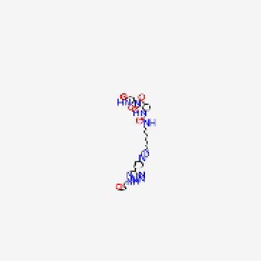 O=C(CNc1cccc2c1C(=O)N(C1CCC(=O)NC1=O)C2=O)NCCCCCCCCN1CCN(c2ccc(-c3cnc(NCc4ccco4)n4cnnc34)cc2)CC1